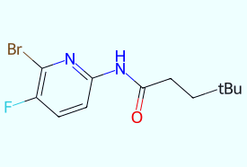 CC(C)(C)CCC(=O)Nc1ccc(F)c(Br)n1